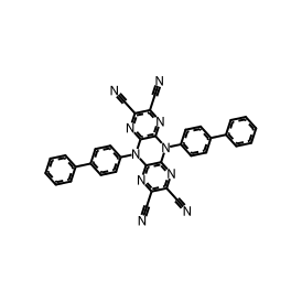 N#Cc1nc2c(nc1C#N)N(c1ccc(-c3ccccc3)cc1)c1nc(C#N)c(C#N)nc1N2c1ccc(-c2ccccc2)cc1